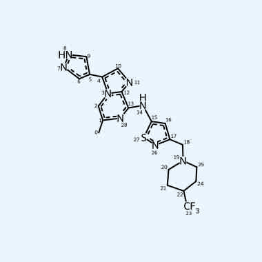 Cc1cn2c(-c3cn[nH]c3)cnc2c(Nc2cc(CN3CCC(C(F)(F)F)CC3)ns2)n1